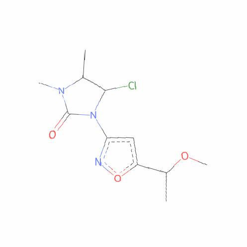 COC(C)c1cc(N2C(=O)N(C)C(C)C2Cl)no1